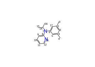 Cc1cc(C)cc(N(c2ccccn2)C(C)C)c1